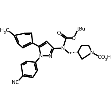 Cc1ccc(-c2cc(N(C[C@@H]3CCN(C(=O)O)C3)C(=O)OC(C)(C)C)nn2-c2ccc(C#N)cc2)cc1